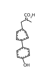 CN(Cc1ccc(-c2ccc(O)cc2)cc1)C(=O)O